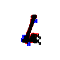 CC[C@@]1(O)C(=O)OCc2c1cc1n(c2=O)Cc2c-1nc1cc(F)c(C)c3c1c2C(N(C)C(=O)COCNC(=O)CNC(=O)[C@H](Cc1ccccc1)NC(=O)CNC(=O)CNC(=O)COCCOCCOCCOCCOCCOCCOCCOCCNC(=O)CCCCCN1C(=O)C=CC1=O)CC3